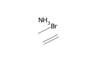 C=C.CBr.N